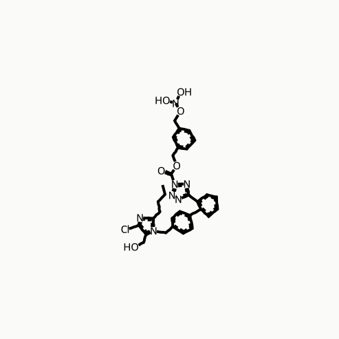 CCCCc1nc(Cl)c(CO)n1Cc1ccc(-c2ccccc2-c2nnn(C(=O)OCc3cccc(CON(O)O)c3)n2)cc1